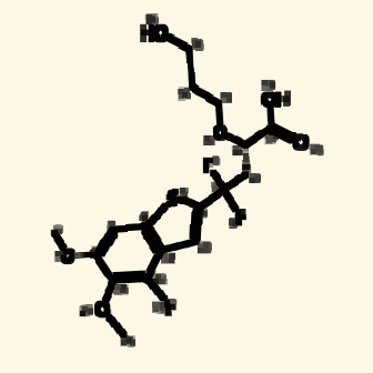 COc1cc2sc(C(F)(F)C[C@H](OCCCO)C(=O)O)cc2c(F)c1OC